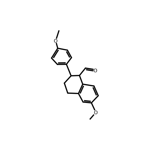 COc1ccc(C2CCc3cc(OC)ccc3C2C=O)cc1